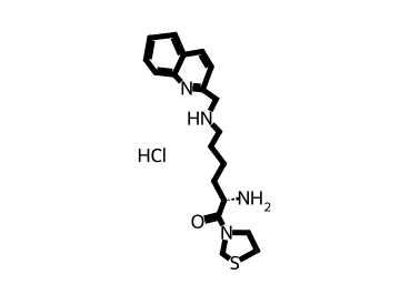 Cl.N[C@@H](CCCCNCc1ccc2ccccc2n1)C(=O)N1CCSC1